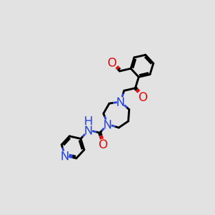 O=Cc1ccccc1C(=O)CN1CCCN(C(=O)Nc2ccncc2)CC1